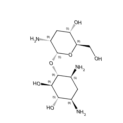 N[C@@H]1C[C@H](O)[C@@H](CO)O[C@@H]1O[C@H]1[C@H](O)[C@@H](O)[C@H](N)C[C@@H]1N